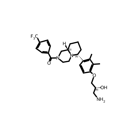 Cc1c(OC[C@H](O)CN)ccc([C@H]2CCC[C@H]3CN(C(=O)c4ccc(C(F)(F)F)cc4)CCN32)c1C